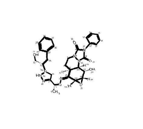 C[C@@H](O/N=C1/[C@H]2CCn3c(=O)n(-c4ccccc4)c(=O)n3[C@H]2[C@H](O)[C@@H]2O[C@H]12)C1=NNN([C@H](CO)Cc2ccccc2)C1